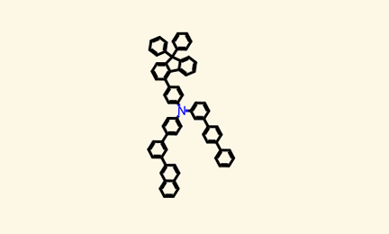 c1ccc(-c2ccc(-c3cccc(N(c4ccc(-c5cccc(-c6ccc7ccccc7c6)c5)cc4)c4ccc(-c5cccc6c5-c5ccccc5C6(c5ccccc5)c5ccccc5)cc4)c3)cc2)cc1